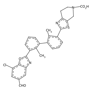 Cc1c(-c2nc3cc(C=O)cc(Cl)c3o2)cccc1-c1cccc(-c2nc3c(s2)CN(C(=O)O)CC3)c1C